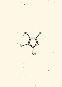 Sc1sc(Br)c(Br)c1Br